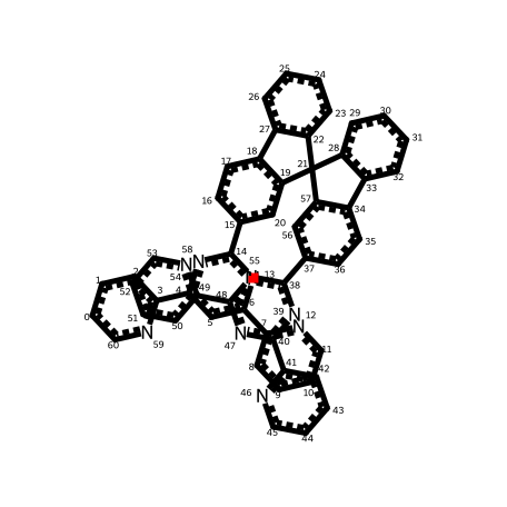 c1ccc(-c2cc(-c3ccccn3)nc(-c3ccc4c(c3)C3(c5ccccc5-4)c4ccccc4-c4ccc(-c5nc(-c6ccccn6)nc(-c6ccccn6)n5)cc43)n2)nc1